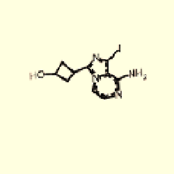 Nc1nccn2c(C3CC(O)C3)nc(I)c12